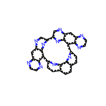 c1cnc2c(cc3ncc4nc3c2c2ccc3ccc5ccc(nc5c3n2)c2c3nccnc3cc3ncc4nc32)n1